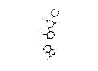 Cn1cnc2cc(Nc3cccc([C@]4(C)CC(=O)N(C5CCOCC5)C(=N)N4)c3Cl)cnc21